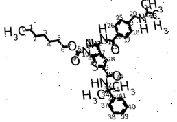 CCCCCCCOC(=O)n1nc(NC(=O)c2ccc(CNC(C)C)cc2)c2cc(C(=O)NC(C)(C)c3ccccc3)sc21